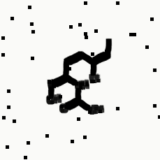 C\C=C(/C=C\C(=N\O)NC(=O)C(C)(C)C)CC